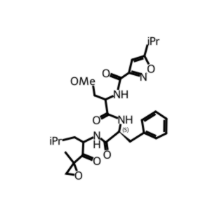 COCC(NC(=O)c1cc(C(C)C)on1)C(=O)N[C@@H](Cc1ccccc1)C(=O)NC(CC(C)C)C(=O)C1(C)CO1